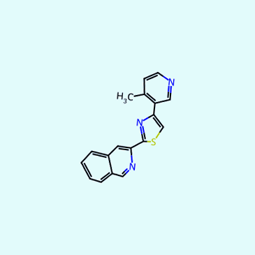 Cc1ccncc1-c1csc(-c2cc3ccccc3cn2)n1